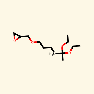 CCOC(C)(OCC)[SiH2]CCCOCC1CO1